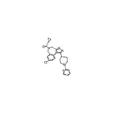 O=C(C1CC1)N1Cc2cc(Cl)ccc2-n2c(nnc2C2CCN(c3ncccn3)CC2)C1